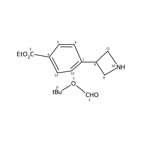 CC(C)(C)OC=O.CCOC(=O)c1ccc(C2CNC2)cc1